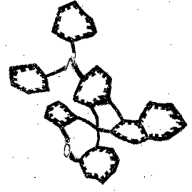 c1ccc(N(c2ccccc2)c2ccc3c(c2)C2(c4ccccc4Oc4ccccc42)c2ccc4ccccc4c2-3)cc1